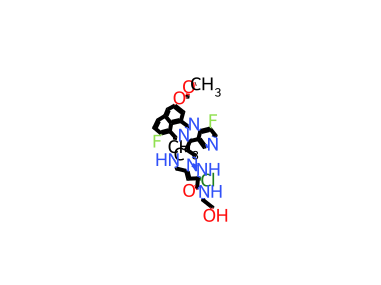 CCc1c(F)ccc2cc(OCOC)cc(-c3nc(C4CNCC5=CC(Cl)(C(=O)NCCO)NN5C4)c4cncc(F)c4n3)c12